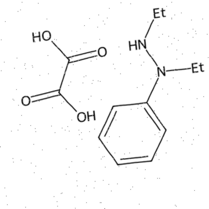 CCNN(CC)c1ccccc1.O=C(O)C(=O)O